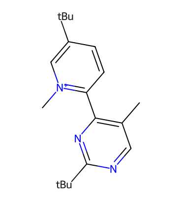 Cc1cnc(C(C)(C)C)nc1-c1ccc(C(C)(C)C)c[n+]1C